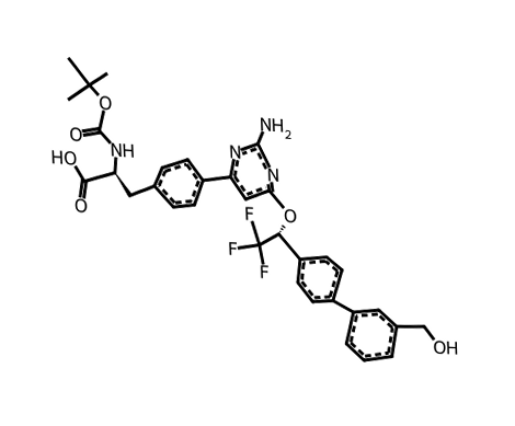 CC(C)(C)OC(=O)N[C@@H](Cc1ccc(-c2cc(O[C@H](c3ccc(-c4cccc(CO)c4)cc3)C(F)(F)F)nc(N)n2)cc1)C(=O)O